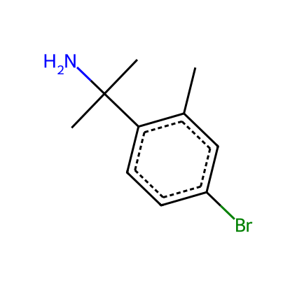 Cc1cc(Br)ccc1C(C)(C)N